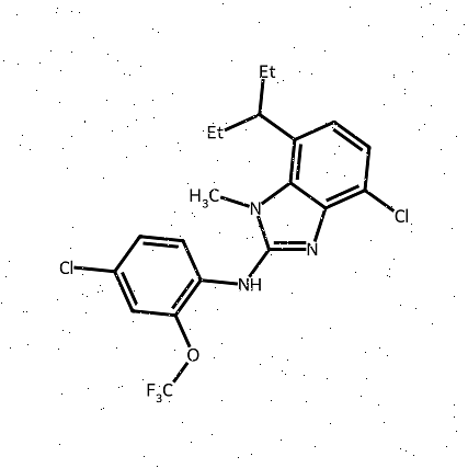 CCC(CC)c1ccc(Cl)c2nc(Nc3ccc(Cl)cc3OC(F)(F)F)n(C)c12